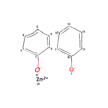 [O-]c1ccccc1.[O-]c1ccccc1.[Zn+2]